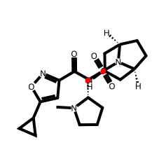 CN1CCC[C@H]1CS(=O)(=O)N1[C@@H]2CC[C@H]1C[C@@H](NC(=O)c1cc(C3CC3)on1)C2